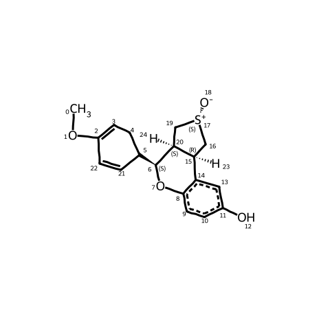 COC1=CCC([C@@H]2Oc3ccc(O)cc3[C@@H]3C[S@@+]([O-])C[C@@H]32)C=C1